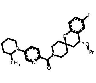 CC(C)O[C@@H]1CC2(CCN(C(=O)c3ccc(N4CCCCC4C)cn3)CC2)Oc2ccc(F)cc21